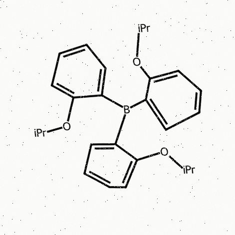 CC(C)Oc1ccccc1B(c1ccccc1OC(C)C)c1ccccc1OC(C)C